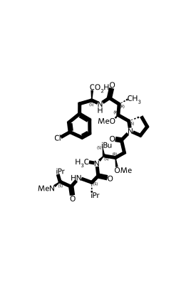 CC[C@H](C)[C@@H]([C@@H](CC(=O)N1CCC[C@H]1[C@H](OC)[C@@H](C)C(=O)N[C@@H](Cc1cccc(Cl)c1)C(=O)O)OC)N(C)C(=O)[C@@H](NC(=O)[C@@H](NC)C(C)C)C(C)C